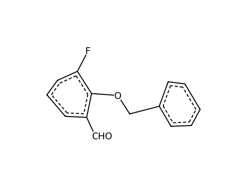 O=Cc1cccc(F)c1OCc1ccccc1